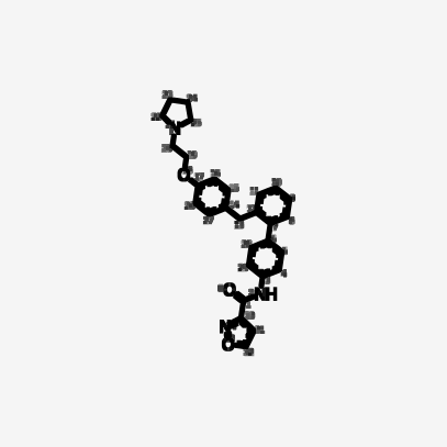 O=C(Nc1ccc(-c2ccccc2Cc2ccc(OCCN3CCCC3)cc2)cc1)c1ccon1